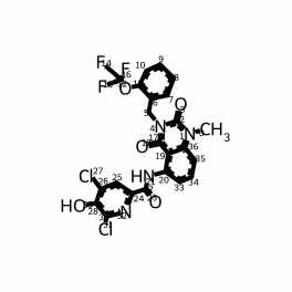 Cn1c(=O)n(Cc2ccccc2OC(F)(F)F)c(=O)c2c(NC(=O)c3cc(Cl)c(O)c(Cl)n3)cccc21